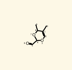 CC1=COC(C=O)OC1C